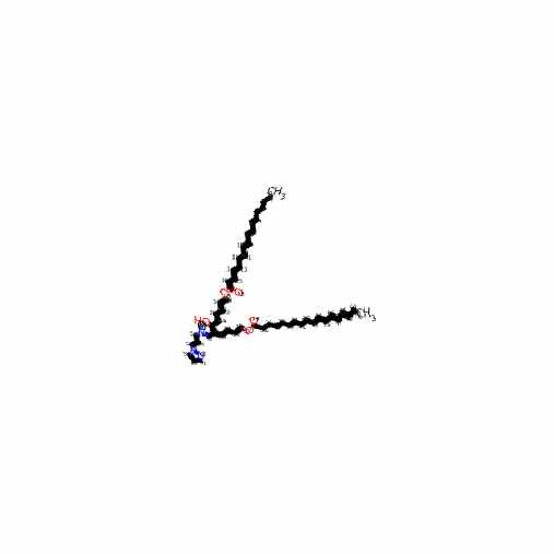 CCCCCCCCCCCCCCCCCC(=O)OCCCCCC(O)C(CCCCOC(=O)CCCCCCCCCCCCCCCCC)CN(C)CCCn1cccn1